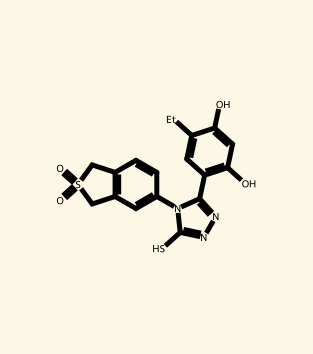 CCc1cc(-c2nnc(S)n2-c2ccc3c(c2)CS(=O)(=O)C3)c(O)cc1O